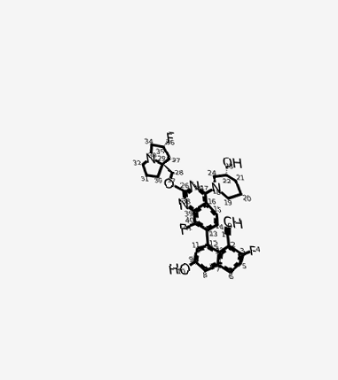 C#Cc1c(F)ccc2cc(O)cc(-c3ccc4c(N5CCC[C@@H](O)C5)nc(OC[C@@]56CCCN5C[C@H](F)C6)nc4c3F)c12